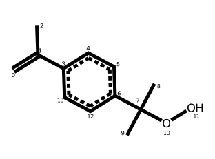 C=C(C)c1ccc(C(C)(C)OO)cc1